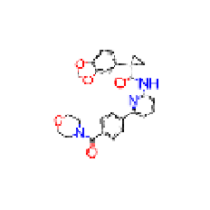 O=C(c1ccc(-c2cccc(NC(=O)C3(c4ccc5c(c4)OCO5)CC3)n2)cc1)N1CCOCC1